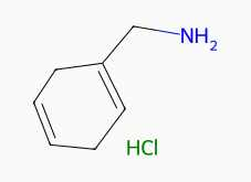 Cl.NCC1=CCC=CC1